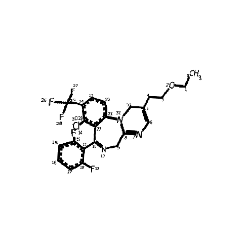 CCOCCC1=CN=C2CN=C(c3c(F)cccc3F)c3c(ccc(C(F)(F)F)c3Cl)N2C1